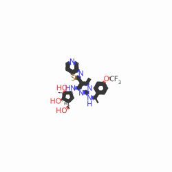 Cc1nc(N[C@H](C)c2ccc(OC(F)(F)F)cc2)nc(N[C@@H]2C[C@H](CO)[C@@H](O)[C@@]2(C)O)c1-c1nc2cnccc2s1